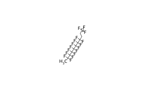 CC(F)(F)C(F)(F)C(F)(F)C(F)(F)C(F)(F)C(F)(F)C(F)(F)CC[Si](F)(F)F